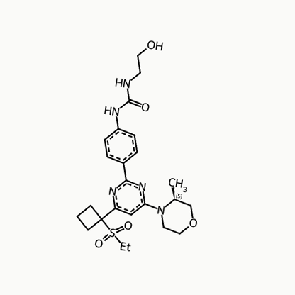 CCS(=O)(=O)C1(c2cc(N3CCOC[C@@H]3C)nc(-c3ccc(NC(=O)NCCO)cc3)n2)CCC1